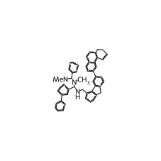 CNC(c1ccccc1)N(C)C(NCc1cccc2c1-c1cc(-c3ccc4ccc5c(c4c3)C=CCC5)ccc1C2)c1cccc(-c2ccccc2)c1